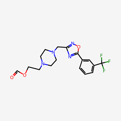 O=COCCN1CCN(Cc2noc(-c3cccc(C(F)(F)F)c3)n2)CC1